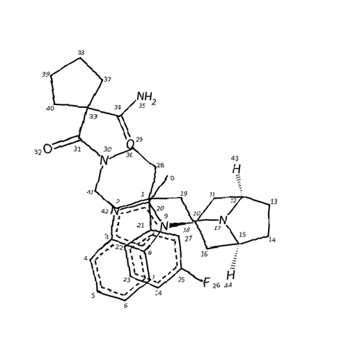 Cc1nc2ccccc2n1[C@H]1C[C@H]2CC[C@@H](C1)N2CCC1(c2cccc(F)c2)CCN(C(=O)C2(C(N)=O)CCCC2)CC1